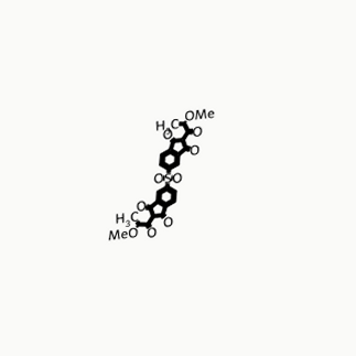 CO[C@@H](C)C(=O)C1C(=O)c2ccc(S(=O)(=O)c3ccc4c(c3)C(=O)C(C(=O)[C@@H](C)OC)C4=O)cc2C1=O